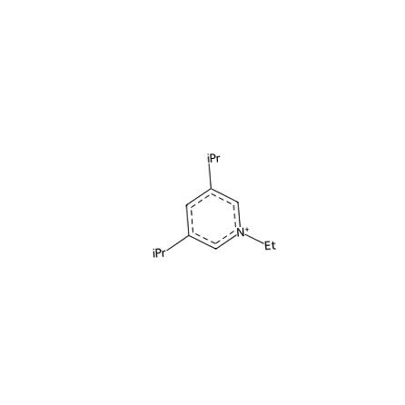 CC[n+]1cc(C(C)C)cc(C(C)C)c1